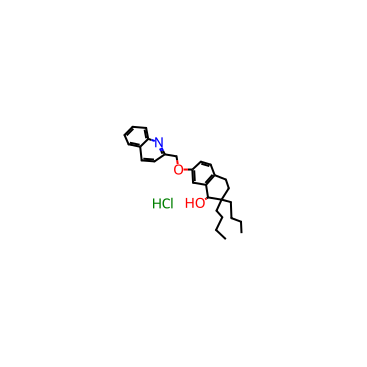 CCCCC1(CCCC)CCc2ccc(OCc3ccc4ccccc4n3)cc2C1O.Cl